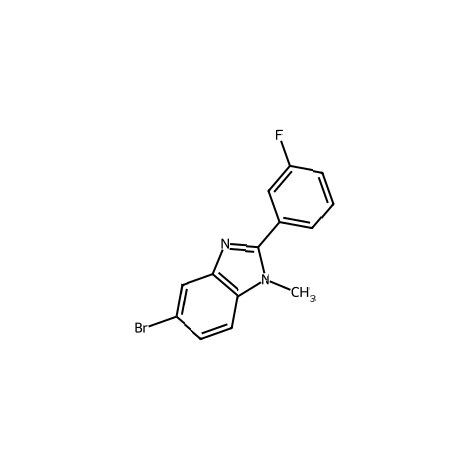 Cn1c(-c2cccc(F)c2)nc2cc(Br)ccc21